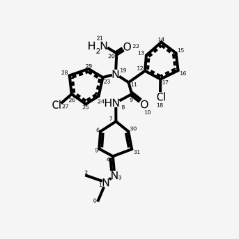 CN(C)N=C1C=CC(NC(=O)C(c2ccccc2Cl)N(C(N)=O)c2ccc(Cl)cc2)C=C1